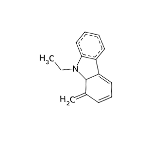 C=C1C=CC=C2c3ccccc3N(CC)C12